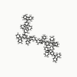 c1ccc([Si](c2ccccc2)(c2ccc(-c3nc(-n4c5ccccc5c5ccccc54)nc(-n4c5ccccc5n5c6cc(-c7ccc8nc9n(-c%10nc(-c%11cccc([Si](c%12ccccc%12)(c%12ccccc%12)c%12ccc(-n%13c%14ccccc%14c%14ccccc%14%13)cc%12)c%11)nc(-n%11c%12ccccc%12n%12c%13ccccc%13nc%11%12)n%10)c%10ccccc%10n9c8c7)ccc6nc45)n3)cc2)c2ccc(-n3c4ccccc4c4ccccc43)cc2)cc1